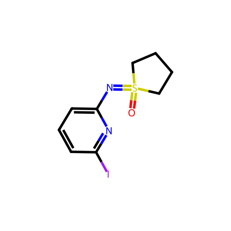 O=S1(=Nc2cccc(I)n2)CCCC1